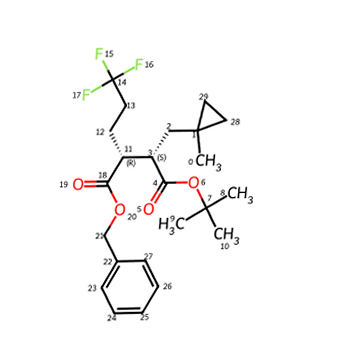 CC1(C[C@H](C(=O)OC(C)(C)C)[C@@H](CCC(F)(F)F)C(=O)OCc2ccccc2)CC1